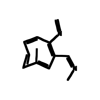 C=NC1=C(\C=N/C)/C=C(C)/C=C/C=C\1